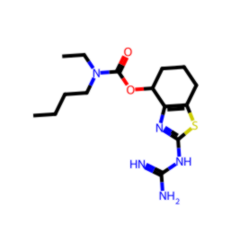 CCCCN(CC)C(=O)OC1CCCc2sc(NC(=N)N)nc21